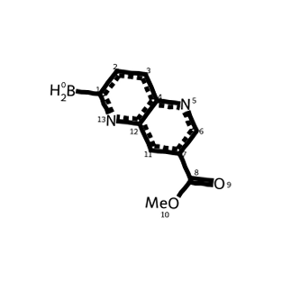 Bc1ccc2ncc(C(=O)OC)cc2n1